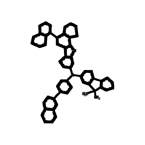 CC1(C)c2ccccc2-c2ccc(N(c3ccc(-c4ccc5ccccc5c4)cc3)c3ccc4c(c3)oc3c5ccccc5c(-c5cccc6ccccc56)cc43)cc21